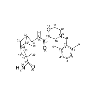 Cc1cccc(C)c1CN1CCO[C@@H](C(=O)NC2C3CC4CC2CC(C(N)=O)(C4)C3)C1